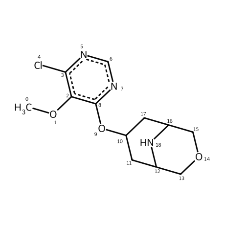 COc1c(Cl)ncnc1OC1CC2COCC(C1)N2